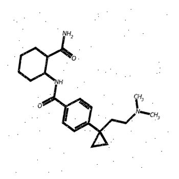 CN(C)CCC1(c2ccc(C(=O)NC3CCCCC3C(N)=O)cc2)CC1